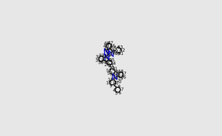 C[C@H]1C(c2ccccc2)=CC=CC1N1c2ccccc2C2=CC(c3ccc4c(c3)c3ccccc3n4-c3nc(C4C=CC=CC4)c4ccccc4n3)=CCC21